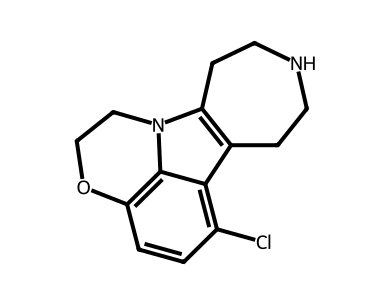 Clc1ccc2c3c1c1c(n3CCO2)CCNCC1